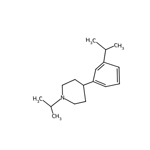 CC(C)c1cccc(C2CCN(C(C)C)CC2)c1